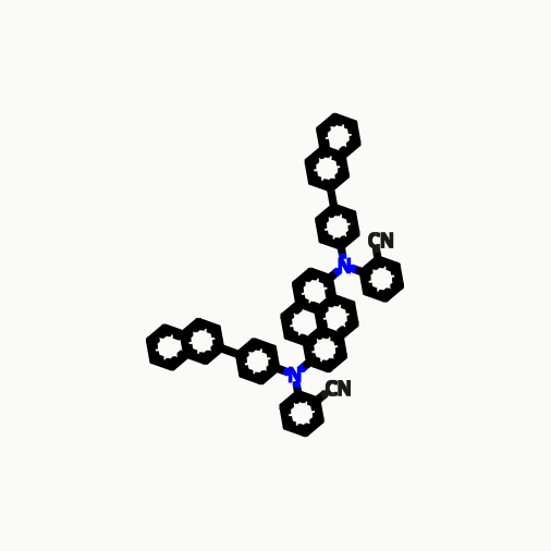 N#Cc1ccccc1N(c1ccc(-c2ccc3ccccc3c2)cc1)c1ccc2ccc3c(N(c4ccc(-c5ccc6ccccc6c5)cc4)c4ccccc4C#N)ccc4ccc1c2c43